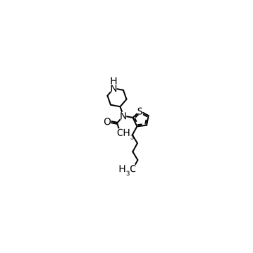 CCCCCc1ccsc1N(C(C)=O)C1CCNCC1